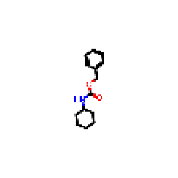 O=C(NC1C[CH]CCC1)OCc1ccccc1